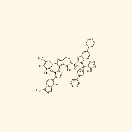 Cc1cc(-n2nc3c(c2-n2ccn(-c4ccc5c(cnn5C)c4F)c2=O)[C@H](C)N(C(=O)c2cc4cc(C5CCOCC5)ccc4n2C2(c4nnn[nH]4)[C@@H]4CN(c5ncccn5)C[C@@H]42)CC3)cc(C)c1F